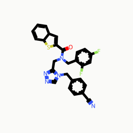 N#Cc1ccc(Cn2cnnc2CN(Cc2ccc(F)cc2F)C(=O)C2=CC3C=CC=CC3S2)cc1